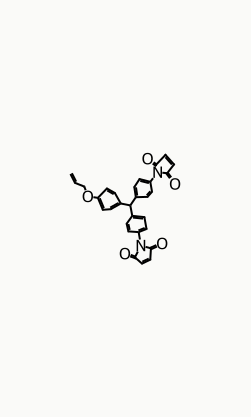 C=CCOc1ccc(C(c2ccc(N3C(=O)C=CC3=O)cc2)c2ccc(N3C(=O)C=CC3=O)cc2)cc1